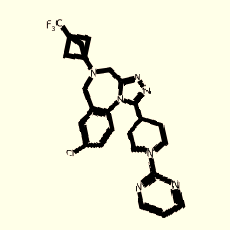 FC(F)(F)C12CC(N3Cc4cc(Cl)ccc4-n4c(nnc4C4CCN(c5ncccn5)CC4)C3)(C1)C2